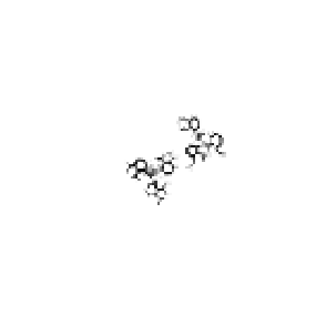 CC(C)c1cccc(OP(Oc2cccc(C(C)C)c2C(C)C)Oc2cccc(C(C)C)c2C(C)C)c1C(C)C.CCc1cccc(OP(Oc2cccc(CC)c2CC)Oc2cccc(CC)c2CC)c1CC